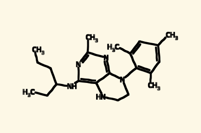 CCCC(CC)Nc1nc(C)nc2c1NCCN2c1c(C)cc(C)cc1C